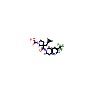 O=C(O)N1CCC(CC2CC2)(C(=O)N2CCc3ncc(C(F)(F)F)cc3C2)C1